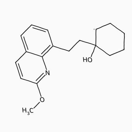 COc1ccc2cccc(CCC3(O)[CH]CCCC3)c2n1